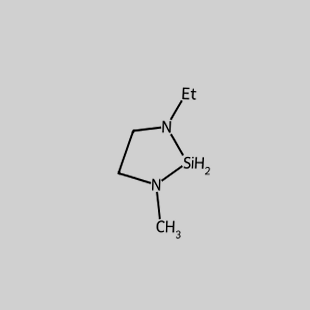 CCN1CCN(C)[SiH2]1